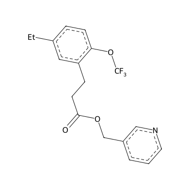 CCc1ccc(OC(F)(F)F)c(CCC(=O)OCc2cccnc2)c1